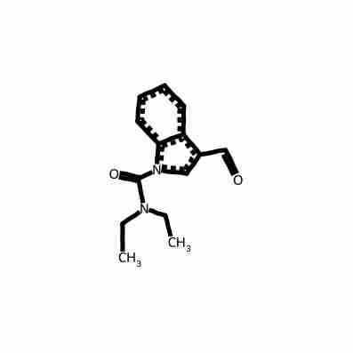 CCN(CC)C(=O)n1cc(C=O)c2ccccc21